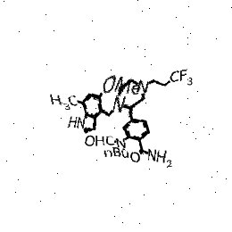 CCCCN(C=O)c1cc(C2CN(CCC(F)(F)F)CCN2Cc2c(OC)cc(C)c3[nH]ccc23)ccc1C(N)=O